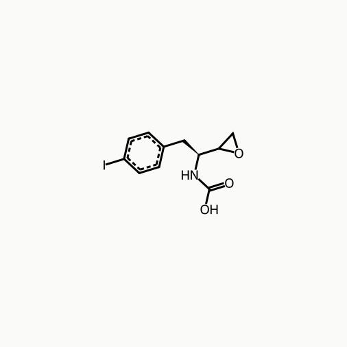 O=C(O)N[C@@H](Cc1ccc(I)cc1)C1CO1